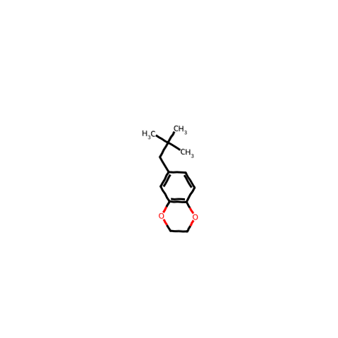 CC(C)(C)Cc1ccc2c(c1)OCCO2